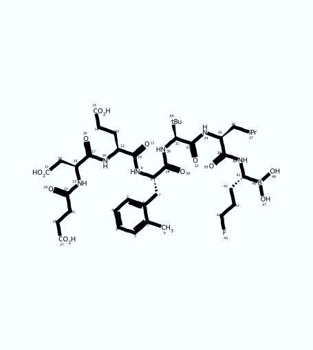 Cc1ccccc1C[C@H](NC(=O)[C@H](CCC(=O)O)NC(=O)[C@H](CC(=O)O)NC(=O)CCC(=O)O)C(=O)N[C@H](C(=O)N[C@@H](CC(C)C)C(=O)N[C@@H](CCCF)B(O)O)C(C)(C)C